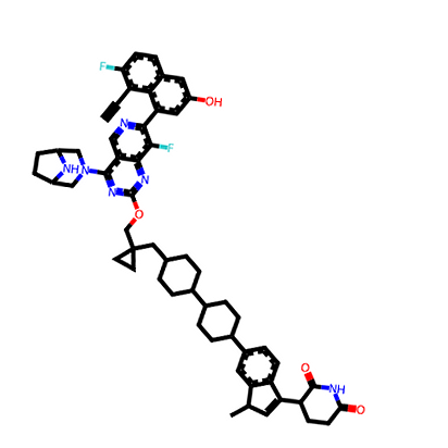 C#Cc1c(F)ccc2cc(O)cc(-c3ncc4c(N5CC6CCC(C5)N6)nc(OCC5(CC6CCC(C7CCC(c8ccc9c(c8)C(C)C=C9C8CCC(=O)NC8=O)CC7)CC6)CC5)nc4c3F)c12